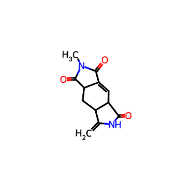 C=C1NC(=O)C2C=C3C(=O)N(C)C(=O)C3CC12